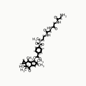 CC1=C2C(=CC(C)(C)[C@@H]2OC(=O)c2ccc(S(=O)(=O)N(C)CCNC(=O)CNC(=O)CNC(=O)CN)cc2)C(=O)[C@](C)(O)C12CC2